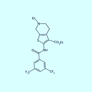 CCOC(=O)c1c(NC(=O)c2cc(C(F)(F)F)cc(C(F)(F)F)c2)sc2c1CCN(CC)C2